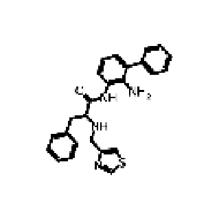 Nc1c(NC(=O)C(Cc2ccccc2)NCc2cscn2)cccc1-c1ccccc1